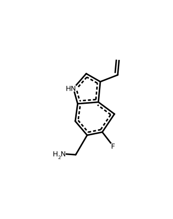 C=Cc1c[nH]c2cc(CN)c(F)cc12